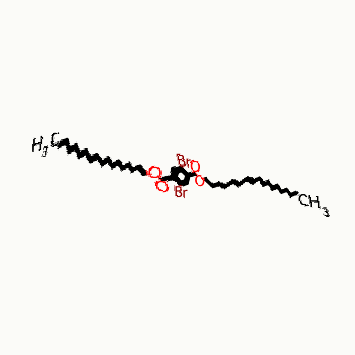 CCCCCCCCCCCCCCCCCCOC(=O)c1cc(Br)c(C(=O)OCCCCCCCCCCCCCCCCCC)cc1Br